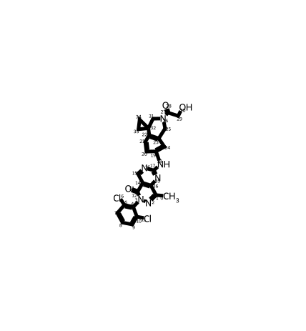 Cc1nn(-c2c(Cl)cccc2Cl)c(=O)c2cnc(Nc3ccc4c(c3)CN(C(=O)CO)CC43CC3)nc12